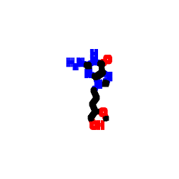 COC(CO)CCCn1cnc2c(=O)[nH]c(N)nc21